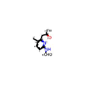 CCC(C)C(=O)Cc1nc(NC=O)ccc1C